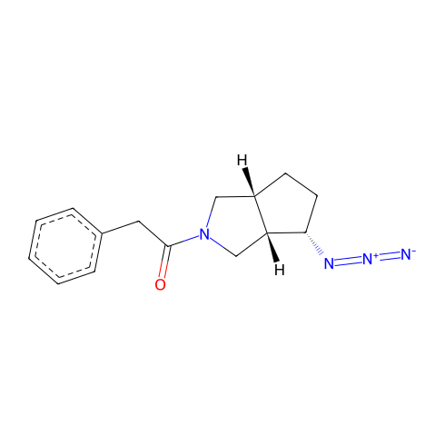 [N-]=[N+]=N[C@H]1CC[C@H]2CN(C(=O)Cc3ccccc3)C[C@H]21